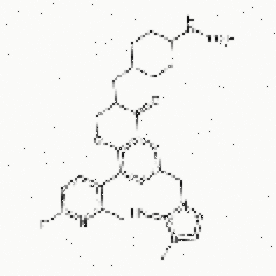 Cc1nc(F)ccc1-c1cc(Cn2ccn(C)c2=N)cc2c1OCC(CC1CCC(NC(=O)O)CC1)C2=O